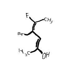 C/C(F)=C(Br)\C=C(/C)O